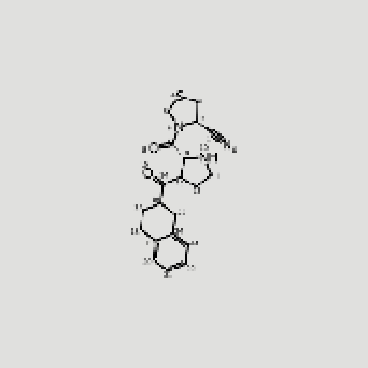 N#C[C@@H]1CSCN1C(=O)[C@@H]1NCCC1C(=O)[C@@H]1CCc2ccccc2C1